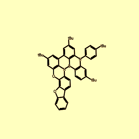 CC(C)(C)c1ccc(N2c3cc(C(C)(C)C)ccc3B3c4c(cc(C(C)(C)C)cc42)-c2cc(C(C)(C)C)cc4c2N3c2ccc3c(oc5ccccc53)c2O4)cc1